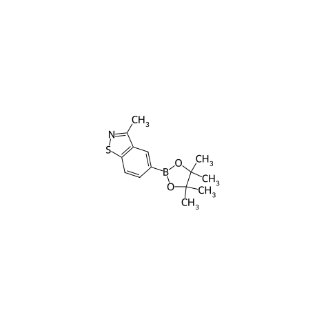 Cc1nsc2ccc(B3OC(C)(C)C(C)(C)O3)cc12